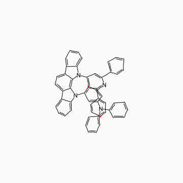 c1ccc(-c2cc(-n3c4ccccc4c4ccc5c6ccccc6n(-c6cccc(N(c7ccccc7)c7ccccc7)c6)c5c43)cc(-c3ccccc3)n2)cc1